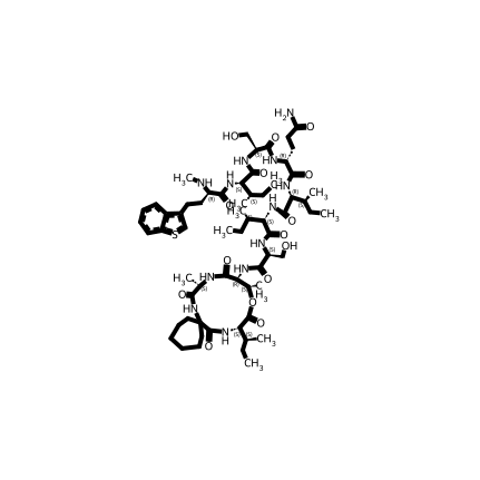 CC[C@H](C)[C@H](NC(=O)[C@@H](CCc1csc2ccccc12)NC)C(=O)N[C@@H](CO)C(=O)N[C@H](CCC(N)=O)C(=O)N[C@@H](C(=O)N[C@H](C(=O)N[C@@H](CO)C(=O)N[C@H]1C(=O)N[C@@H](C)C(=O)NC2(CCCCCC2)C(=O)N[C@@H]([C@@H](C)CC)C(=O)O[C@H]1C)[C@@H](C)CC)[C@@H](C)CC